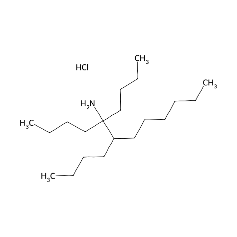 CCCCCCC(CCCC)C(N)(CCCC)CCCC.Cl